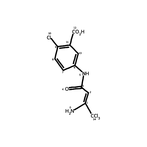 N/C(=C\C(=O)Nc1ccc(Cl)c(C(=O)O)c1)C(Cl)(Cl)Cl